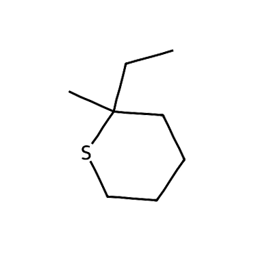 CCC1(C)CCCCS1